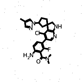 Cc1cnn(C2CCC3(CNc4ncc(-c5ccc(N)c(C(=O)N(C)C)c5F)c(Cl)c43)C2)c1